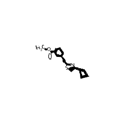 CCOC(=O)c1cccc(C#Cc2nc(C3CCC3)cs2)c1